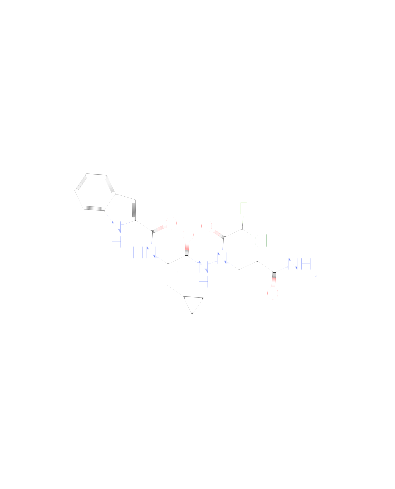 NC(=O)CCN(NC(=O)[C@H](CC1CC1)NC(=O)c1cc2ccccc2[nH]1)C(=O)C(F)Cl